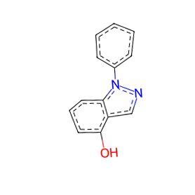 Oc1cccc2c1cnn2-c1ccccc1